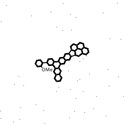 COc1ccccc1-c1ccc2c(c1)c1cc3ccccc3cc1c1cc3cc4c(cc3cc21)-c1ccc2ccc3cccc5cc-4c1c2c35